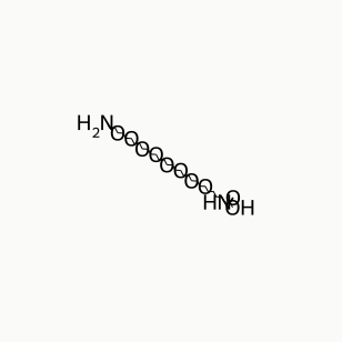 NCCOCCOCCOCCOCCOCCOCCOCCOCCCCNC(=O)O